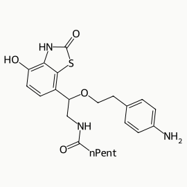 CCCCCC(=O)NCC(OCCc1ccc(N)cc1)c1ccc(O)c2[nH]c(=O)sc12